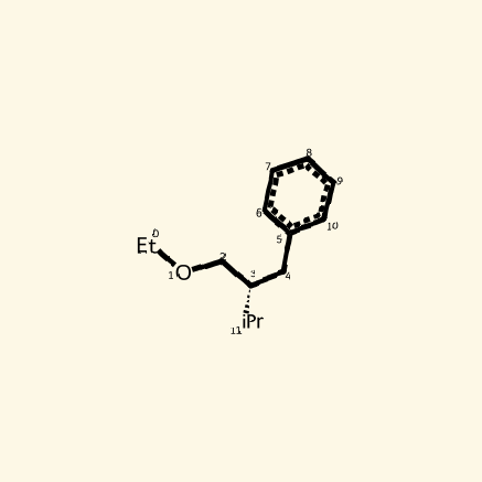 CCOC[C@H](Cc1ccccc1)C(C)C